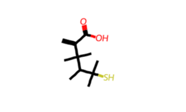 C=C(C(=O)O)C(C)(C)C(C)C(C)(C)S